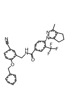 Cc1nn(-c2ccc(C(=O)NCc3cc(C#N)ccc3OCc3ccccc3)cc2C(F)(F)F)c2c1CCC2